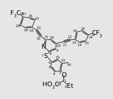 CCC(Oc1ccc(Sc2cc(C#Cc3ccc(C(F)(F)F)cc3)cc(C#Cc3ccc(C(F)(F)F)cc3)n2)cc1C)C(=O)O